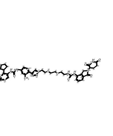 Cc1cc(NC(=O)Nc2cnc3ccnn3c2C2CCCC2)cnc1-c1cn(CCOCCOCCNC(=O)Nc2cccc3c2CN(C2CCC(=O)NC2=O)C3=O)nn1